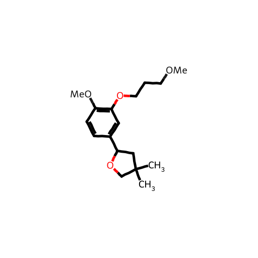 COCCCOc1cc(C2CC(C)(C)CO2)ccc1OC